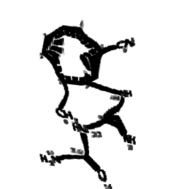 Cc1cccc(C#N)c1NC(=N)NC(N)=O